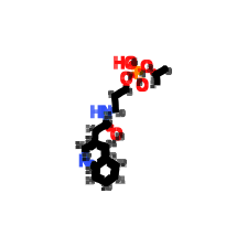 CC(C)OP(=O)(O)OCCCNC(=O)Cc1cnc2ccccc2c1